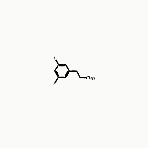 O=[C]CCc1cc(F)cc(F)c1